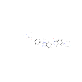 CN(C)C(=O)COc1ccc(C2Nc3ccc(N4Cc5cc(N6CCOCC6)ccc5C4=O)cc3N2C)cc1